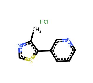 Cc1ncsc1-c1cccnc1.Cl